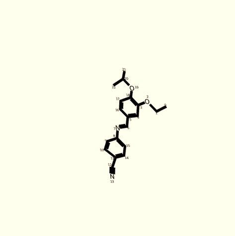 CCOc1cc(C=Nc2ccc(C#N)cc2)ccc1OC(C)C